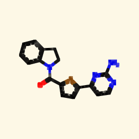 Nc1nccc(-c2ccc(C(=O)N3CCc4ccccc43)s2)n1